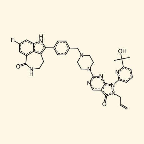 C=CCn1c(=O)c2cnc(N3CCN(Cc4ccc(-c5[nH]c6cc(F)cc7c6c5CCNC7=O)cc4)CC3)nc2n1-c1cccc(C(C)(C)O)n1